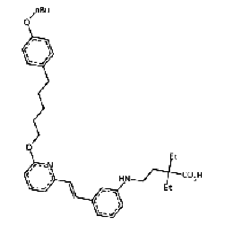 CCCCOc1ccc(CCCCCOc2cccc(C=Cc3cccc(NCCC(CC)(CC)C(=O)O)c3)n2)cc1